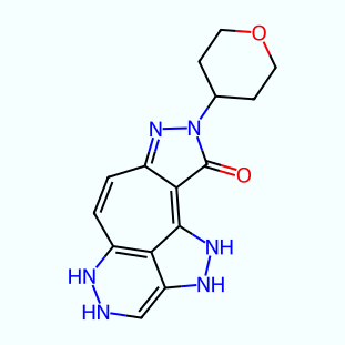 O=c1c2c3c4c(ccc-2nn1C1CCOCC1)NNC=C4NN3